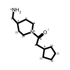 NCC1CCN(C(=O)CC2CCCC2)CC1